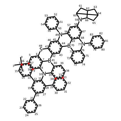 CC(C)(C)c1cc2c3c(c1)N(c1c(-c4ccccc4)cc(-c4ccccc4)cc1-c1ccccc1)c1ccccc1B3c1cc3c(cc1S2)N(c1ccccc1)c1cc(N2C4CC5CC4CC52)cc2c1B3c1ccccc1N2c1ccccc1